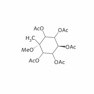 CO[C@]1(C)C(OC(C)=O)C(OC(C)=O)[C@@H](OC(C)=O)C(OC(C)=O)C1OC(C)=O